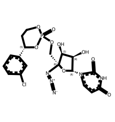 [N-]=[N+]=N[C@]1(COP2(=O)OCC[C@@H](c3cccc(Cl)c3)O2)O[C@@H](n2ccc(=O)[nH]c2=O)[C@H](O)[C@@H]1O